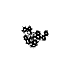 CC1C=Cc2c(sc3c(-c4nc(-c5c(-c6cccc7ccccc67)ccc6ccccc56)nc(-c5ccc(-c6cccc(-c7ccccc7)c6)c6ccccc56)n4)cccc23)C1